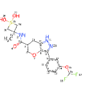 CC1(NC(=O)C2COc3c(-c4cccc(OC(F)F)c4)n[nH]c3C2)CS(O)(O)C1